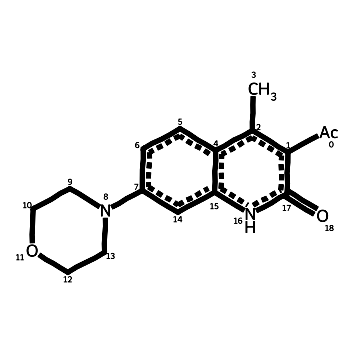 CC(=O)c1c(C)c2ccc(N3CCOCC3)cc2[nH]c1=O